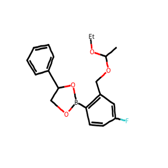 CCOC(C)OCc1cc(F)ccc1B1OCC(c2ccccc2)O1